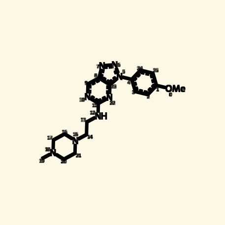 COc1ccc(-n2nnc3cnc(NCCN4CCN(C)CC4)nc32)cc1